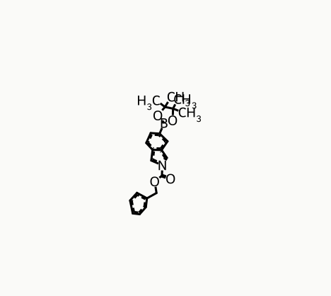 CC1(C)OB(c2ccc3cn(C(=O)OCc4ccccc4)cc3c2)OC1(C)C